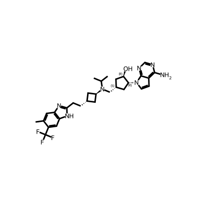 Cc1cc2nc(CC[C@H]3C[C@H](N(C[C@@H]4C[C@@H](O)[C@H](n5ccc6c(N)ncnc65)C4)C(C)C)C3)[nH]c2cc1C(F)(F)F